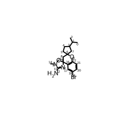 CC(C)C1CCC2(C1)CC1(N=C(N)N(C)O1)c1cc(Br)ccc1O2